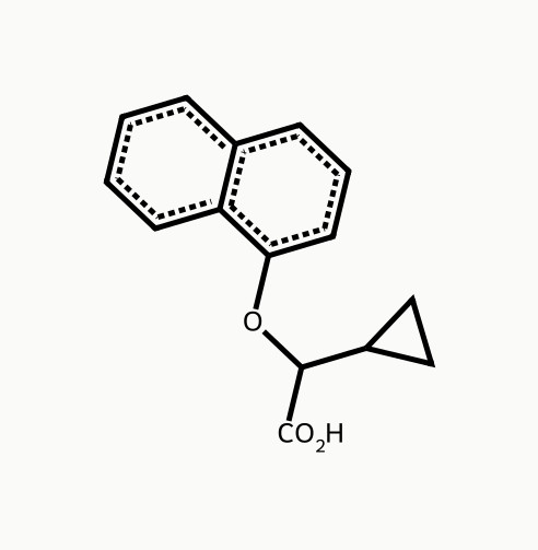 O=C(O)C(Oc1cccc2ccccc12)C1CC1